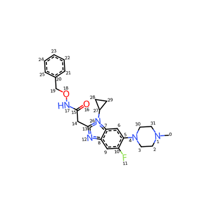 CN1CCN(c2cc3c(cc2F)nc(CC(=O)NOCc2ccccc2)n3C2CC2)CC1